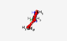 CC(C)(C)OC(=O)COCCCOCCCCCOc1c(Cl)cc(C(C)(C)c2ccc(OCc3cnc(NS(C)(=O)=O)nc3)cc2)cc1C#N